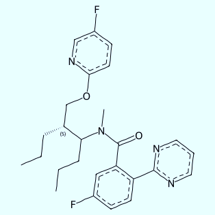 CCCC([C@H](CCC)COc1ccc(F)cn1)N(C)C(=O)c1cc(F)ccc1-c1ncccn1